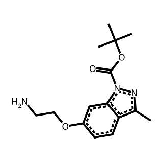 Cc1nn(C(=O)OC(C)(C)C)c2cc(OCCN)ccc12